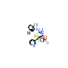 CC1(C(F)(F)c2cccnc2)SC(N[C@H]2C[C@@H]3CC[C@H]2C3)=NC1=O